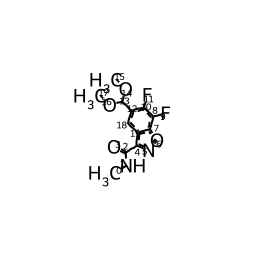 CNC(=O)c1noc2c(F)c(F)c(C(OC)OC)cc12